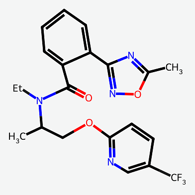 CCN(C(=O)c1ccccc1-c1noc(C)n1)C(C)COc1ccc(C(F)(F)F)cn1